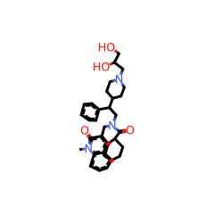 Cn1c(=O)c(CN(CC(c2ccccc2)C2CCN(CC(O)CO)CC2)C(=O)C2CCCCC2)cc2ccccc21